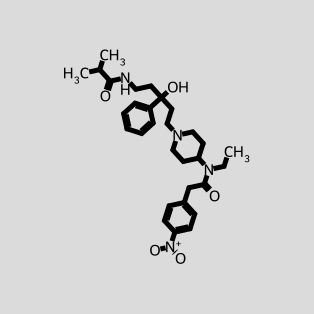 CCN(C(=O)Cc1ccc([N+](=O)[O-])cc1)C1CCN(CCC(O)(CCNC(=O)C(C)C)c2ccccc2)CC1